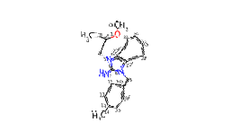 COC(C)Cn1c(=N)n(Cc2ccc(C)cc2)c2ccccc21